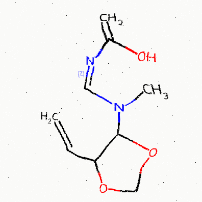 C=CC1OCOC1N(C)/C=N\C(=C)O